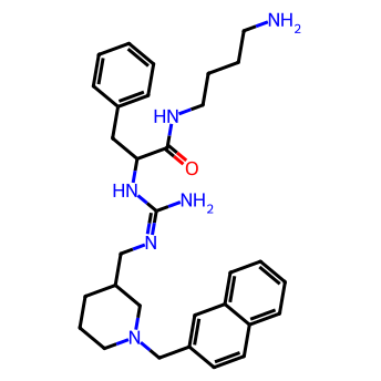 NCCCCNC(=O)C(Cc1ccccc1)NC(N)=NCC1CCCN(Cc2ccc3ccccc3c2)C1